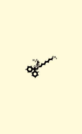 CCCCCCCC[SiH](OCC)OC(C)(C1CCCCC1)C1CCCCC1